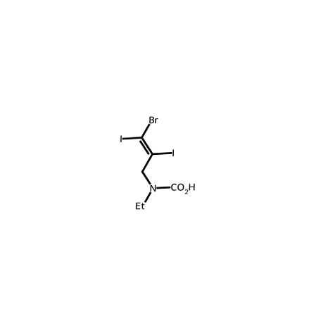 CCN(CC(I)=C(Br)I)C(=O)O